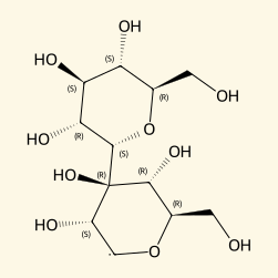 OC[C@H]1O[C@H]([C@]2(O)[C@H](O)[C@@H](CO)O[CH][C@@H]2O)[C@H](O)[C@@H](O)[C@@H]1O